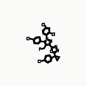 FCc1c(-c2nnc(C3(c4ccc(Cl)cc4)CC3)o2)nn(-c2ccc(Cl)cc2Cl)c1-c1ccc(Cl)cc1